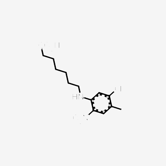 Cc1cc([N+](=O)[O-])c(NCCCCCCC(=O)O)cc1C(F)(F)F